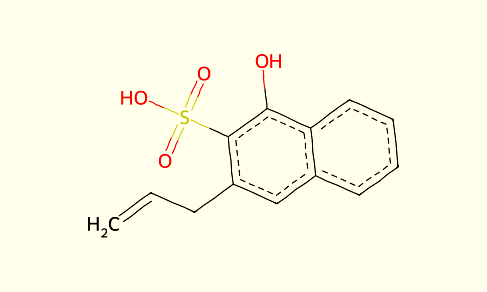 C=CCc1cc2ccccc2c(O)c1S(=O)(=O)O